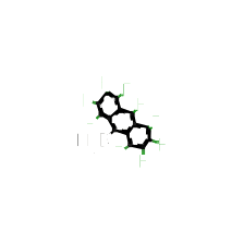 Bc1c2c(F)c(F)c(F)c(F)c2c(F)c2c(F)c(F)c(F)c(F)c12